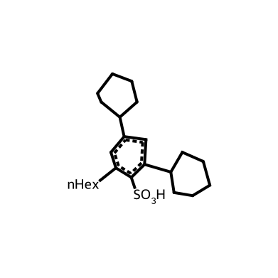 CCCCCCc1cc(C2CCCCC2)cc(C2CCCCC2)c1S(=O)(=O)O